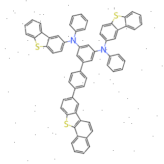 c1ccc(N(c2cc(-c3ccc(-c4ccc5sc6c7ccccc7ccc6c5c4)cc3)cc(N(c3ccccc3)c3ccc4sc5ccccc5c4c3)c2)c2ccc3sc4ccccc4c3c2)cc1